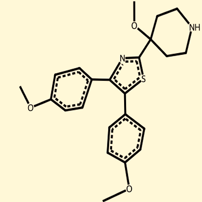 COc1ccc(-c2nc(C3(OC)CCNCC3)sc2-c2ccc(OC)cc2)cc1